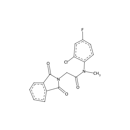 CN(C(=O)CN1C(=O)c2ccccc2C1=O)c1ccc(F)cc1Cl